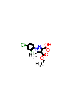 CCOC(=O)C1C(C(=O)O)=NN(c2ccc(Cl)cc2Cl)[C@H]1C